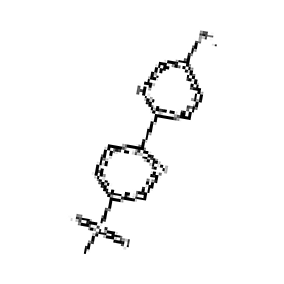 Bc1ccc(-c2ccc(S(C)(=O)=O)cn2)nc1